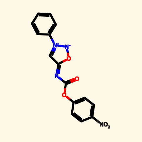 O=C(/N=c1/c[n+](-c2ccccc2)[n-]o1)Oc1ccc([N+](=O)[O-])cc1